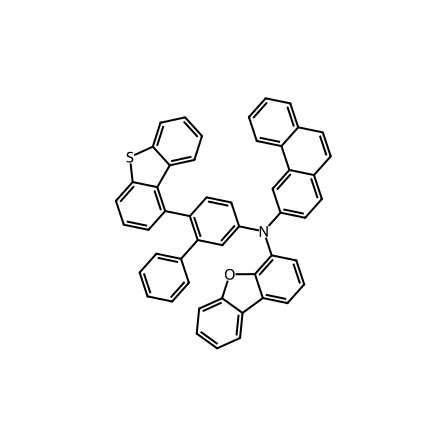 c1ccc(-c2cc(N(c3ccc4ccc5ccccc5c4c3)c3cccc4c3oc3ccccc34)ccc2-c2cccc3sc4ccccc4c23)cc1